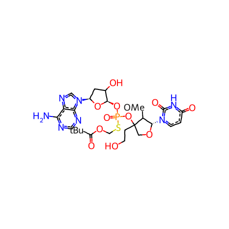 COC1[C@H](n2ccc(=O)[nH]c2=O)OCC1(CCO)OP(=O)(O[C@H]1O[C@@H](n2cnc3c(N)ncnc32)CC1O)SCOC(=O)C(C)(C)C